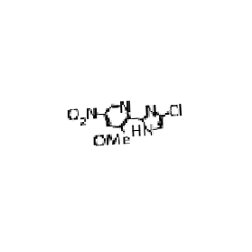 COc1cc([N+](=O)[O-])cnc1-c1nc(Cl)c[nH]1